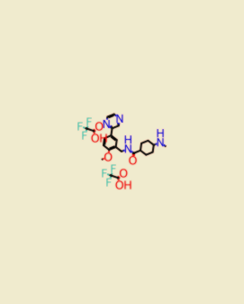 CNC1CCC(C(=O)NCc2cc(-c3cnccn3)ccc2OC)CC1.O=C(O)C(F)(F)F.O=C(O)C(F)(F)F